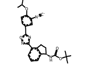 [C-]#[N+]c1cc(-c2nc(-c3cccc4c3CC[C@H]4NC(=O)OC(C)(C)C)no2)ccc1OC(C)C